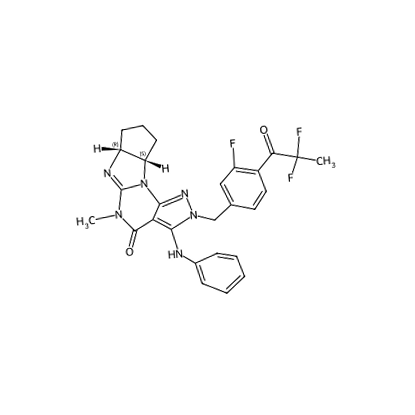 CN1C(=O)c2c(nn(Cc3ccc(C(=O)C(C)(F)F)c(F)c3)c2Nc2ccccc2)N2C1=N[C@@H]1CCC[C@@H]12